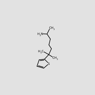 CC(N)CCCC(C)(C)c1cccs1